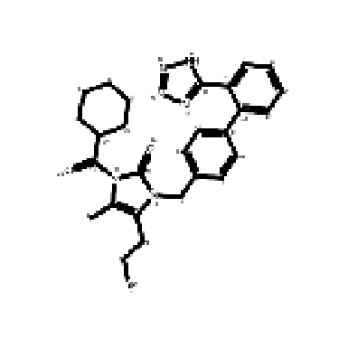 Cc1c(CCC(C)C)n(Cc2ccc(-c3ccccc3-c3nnn[nH]3)cc2)c(=O)n1C(=O)C1CCCCC1